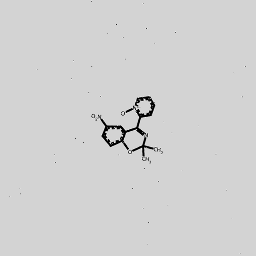 CC1(C)N=C(c2cccc[n+]2[O-])c2cc([N+](=O)[O-])ccc2O1